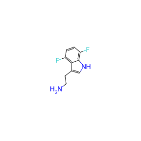 NCCc1c[nH]c2c(F)ccc(F)c12